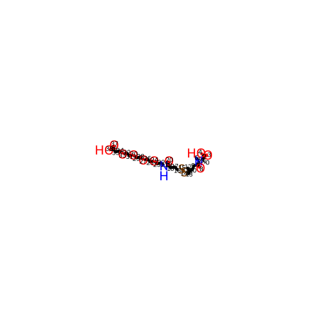 C[C@@H](C(=O)O)N(C)C(=O)CCC(C)(C)SSCCCC(=O)NCCOCCOCCOCCOCCC(=O)O